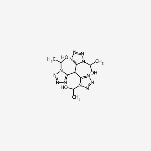 CC(O)n1nnnc1C(c1nnnn1C(C)O)c1nnnn1C(C)O